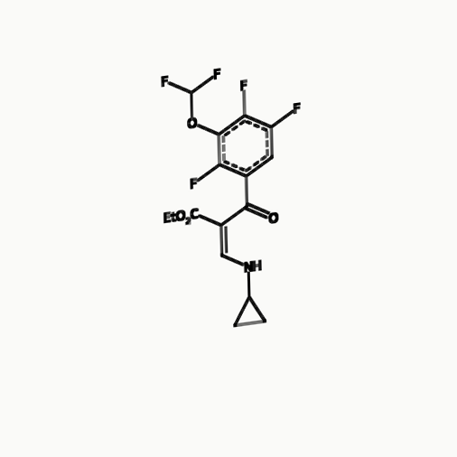 CCOC(=O)/C(=C/NC1CC1)C(=O)c1cc(F)c(F)c(OC(F)F)c1F